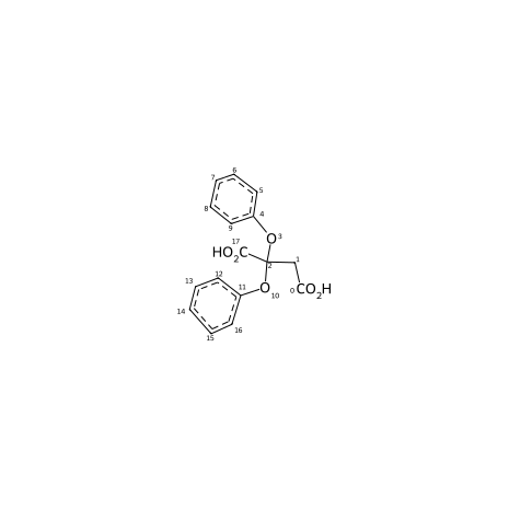 O=C(O)CC(Oc1ccccc1)(Oc1ccccc1)C(=O)O